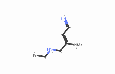 CN/C(=C\C=N)CNCC(C)C